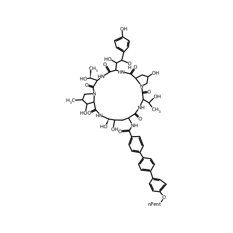 CCCCCOc1ccc(-c2ccc(-c3ccc(C(=O)NC4CC(O)[C@@H](O)NC(=O)C5C(O)C(C)CN5C(=O)C([C@H](C)O)NC(=O)C(C(O)C(O)c5ccc(O)cc5)NC(=O)C5CC(O)CN5C(=O)C(C(C)O)NC4=O)cc3)cc2)cc1